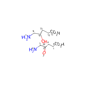 NCC(=O)CCC(=O)O.NCC(O)CCC(=O)O